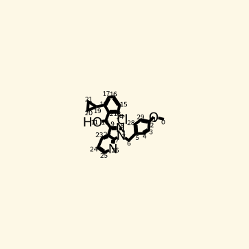 COc1ccc(Cn2nc(C(O)c3c(Cl)cccc3C3CC3)c3cccnc32)cc1